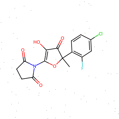 CC1(c2ccc(Cl)cc2F)OC(N2C(=O)CCC2=O)=C(O)C1=O